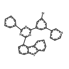 Brc1cc(-c2cccnc2)cc(-c2nc(-c3ccccc3)nc(-c3cccc4sc5ccccc5c34)n2)c1